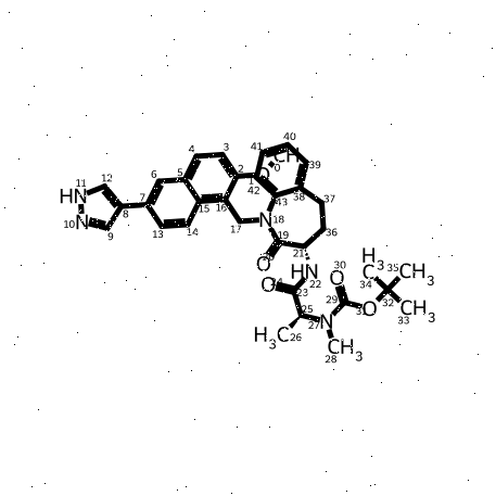 COc1ccc2cc(-c3cn[nH]c3)ccc2c1CN1C(=O)[C@@H](NC(=O)[C@H](C)N(C)C(=O)OC(C)(C)C)CCc2ccccc21